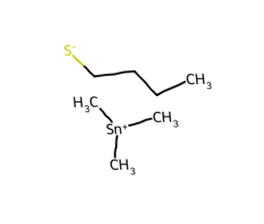 CCCC[S-].[CH3][Sn+]([CH3])[CH3]